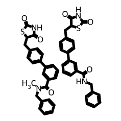 CN(Cc1ccccc1)C(=O)c1cccc(-c2ccc(CC3SC(=O)NC3=O)cc2)c1.O=C1NC(=O)C(Cc2ccc(-c3cccc(C(=O)NCc4ccccc4)c3)cc2)S1